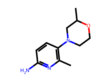 Cc1nc(N)ccc1N1CCOC(C)C1